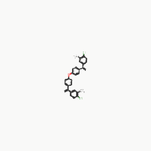 C=C(c1ccc(Oc2ccc(C(=C)c3ccc(Cl)c(C(F)(F)F)c3)cc2)cc1)c1ccc(Cl)c(C(F)(F)F)c1